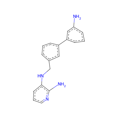 Nc1cccc(-c2cccc(CNc3cccnc3N)c2)c1